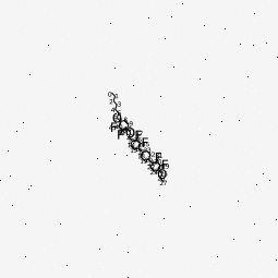 CCCCCCOc1ccc(OCc2ccc(C3=CCC(c4ccc(OCC)c(F)c4F)CC3)c(F)c2F)c(F)c1F